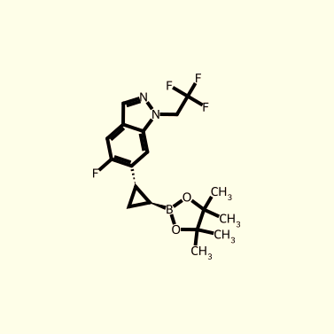 CC1(C)OB([C@H]2C[C@@H]2c2cc3c(cnn3CC(F)(F)F)cc2F)OC1(C)C